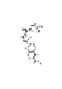 Nc1ncc2c(n1)CCN([C@@H]1CN[C@H](C(=O)N3CCC(F)(F)C3)C1)C2